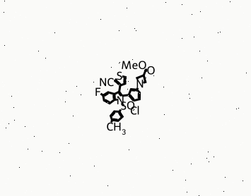 COC(=O)C1CN(c2ccc(OCl)c(-c3c(-c4ccsc4C#N)c4cc(F)ccc4n3Sc3ccc(C)cc3)c2)C1